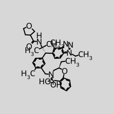 CC[C@@H]1CN(Cc2cc([C@@H](c3ccc4c(nnn4CC)c3C)C(C)(C)NC(=O)C3CCOC3)ccc2C)S(O)(O)c2ccccc2O1